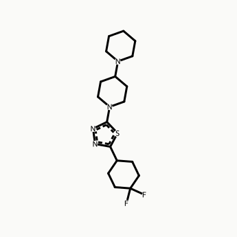 FC1(F)CCC(c2nnc(N3CCC(N4CCCCC4)CC3)s2)CC1